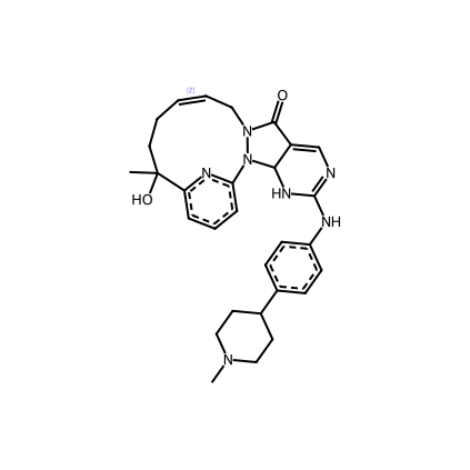 CN1CCC(c2ccc(NC3=NC=C4C(=O)N5C/C=C\CCC(C)(O)c6cccc(n6)N5C4N3)cc2)CC1